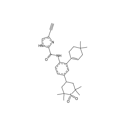 C#Cc1c[nH]c(C(=O)Nc2ccc(C3CC(C)(C)S(=O)(=O)C(C)(C)C3)cc2C2=CCC(C)(C)CC2)n1